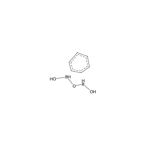 OBOBO.c1ccccc1